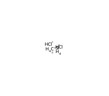 C.Cl.Cl.[SiH4]